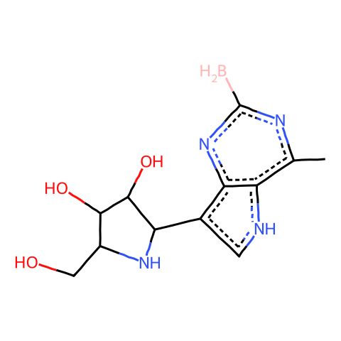 Bc1nc(C)c2[nH]cc(C3NC(CO)C(O)C3O)c2n1